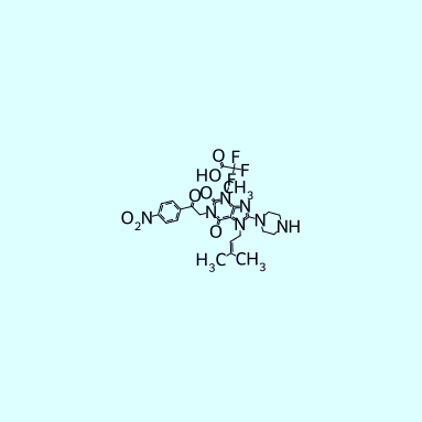 CC(C)=CCn1c(N2CCNCC2)nc2c1c(=O)n(CC(=O)c1ccc([N+](=O)[O-])cc1)c(=O)n2C.O=C(O)C(F)(F)F